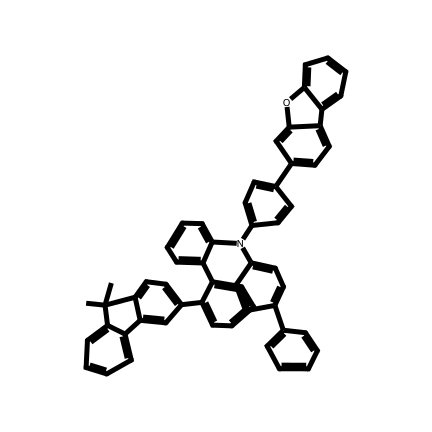 CC1(C)c2ccccc2-c2cc(-c3ccccc3-c3ccccc3N(c3ccc(-c4ccccc4)cc3)c3ccc(-c4ccc5c(c4)oc4ccccc45)cc3)ccc21